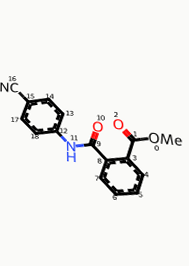 COC(=O)c1ccccc1C(=O)Nc1ccc(C#N)cc1